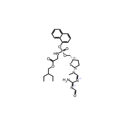 CCC(CC)COC(=O)CNP(=O)(OC[C@@H]1CC[C@H](N(C)/C=N\C(N)=N/C=O)S1)Oc1cccc2ccccc12